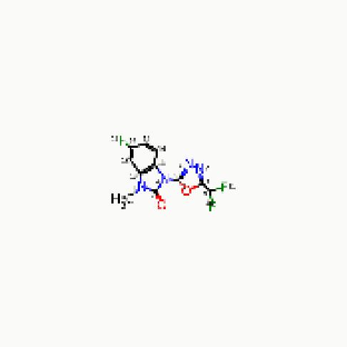 Cn1c(=O)n(-c2nnc(C(F)F)o2)c2ccc(F)cc21